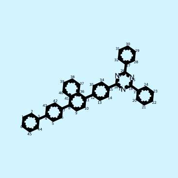 c1ccc(-c2ccc(-c3ccc(-c4ccc(-c5nc(-c6ccccc6)nc(-c6ccccc6)n5)cc4)c4ccccc34)cc2)cc1